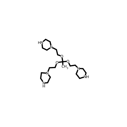 CC(OCCN1CCNCC1)(OCCN1CCNCC1)OCCN1CCNCC1